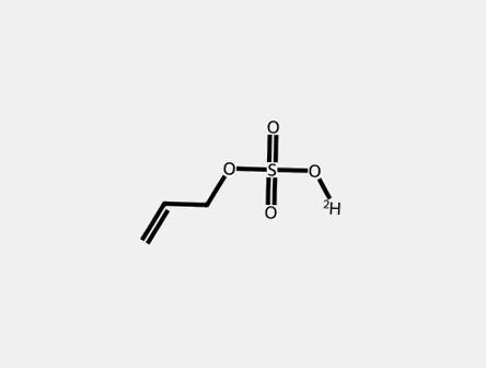 [2H]OS(=O)(=O)OCC=C